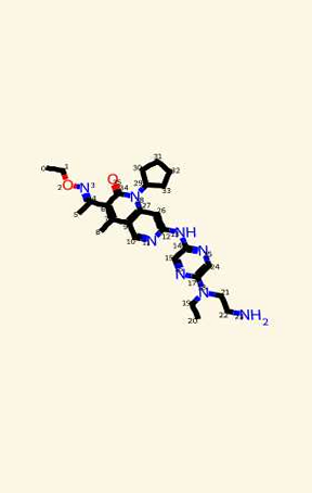 CCO/N=C(\C)c1c(C)c2cnc(Nc3cnc(N(CC)CCN)cn3)cc2n(C2CCCC2)c1=O